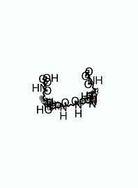 C[C@H](CCC(=O)NCCS(=O)(=O)O)[C@H]1CC[C@H]2[C@@H]3[C@@H](O)CC4C[C@H](NC(=O)CCCC(=O)N[C@@H]5CC[C@@]6(C)C(C5)CC5(N=N5)[C@H]5[C@@H]7CC[C@H]([C@H](C)CCC(=O)NCCS(C)(=O)=O)[C@@]7(C)CC[C@@H]56)CC[C@]4(C)[C@H]3CC[C@]12C